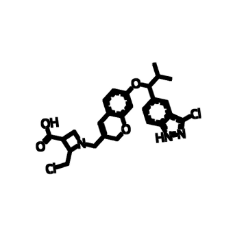 CC(C)C(Oc1ccc2c(c1)OCC(CN1CC(C(=O)O)C1CCl)=C2)c1ccc2[nH]nc(Cl)c2c1